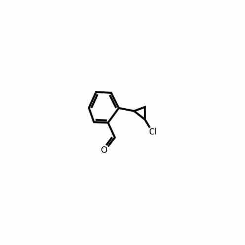 O=Cc1ccccc1C1CC1Cl